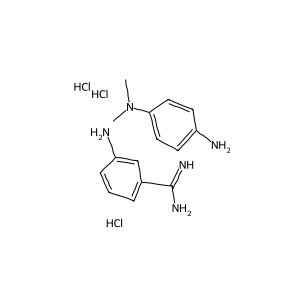 CN(C)c1ccc(N)cc1.Cl.Cl.Cl.N=C(N)c1cccc(N)c1